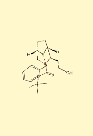 CC(C)(C)OC(=O)N1C[C@@H]2CC[C@H]([C@H]1CCO)N2Cc1ccccc1